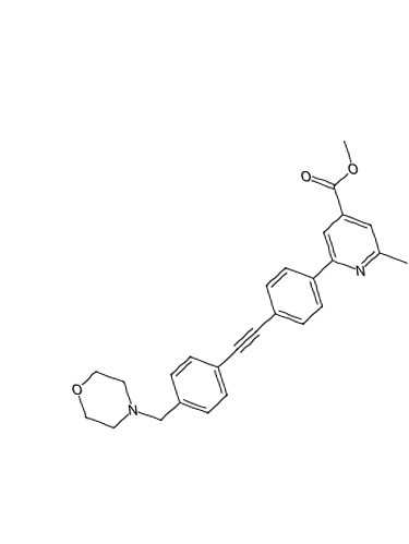 COC(=O)c1cc(C)nc(-c2ccc(C#Cc3ccc(CN4CCOCC4)cc3)cc2)c1